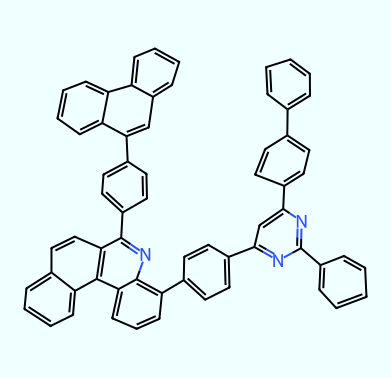 c1ccc(-c2ccc(-c3cc(-c4ccc(-c5cccc6c5nc(-c5ccc(-c7cc8ccccc8c8ccccc78)cc5)c5ccc7ccccc7c56)cc4)nc(-c4ccccc4)n3)cc2)cc1